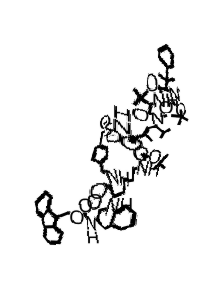 C/C(=C\C(C(C)C)N(C)C(=O)C(NC(=O)C(N(C)C(=O)OC(C)(C)C)C(C)(C)c1ccccc1)C(C)(C)C)C(=O)NS(=O)(=O)Cc1ccc(CNC(=O)C(CCCCNC(=O)OC(C)(C)C)NC(=O)C(Cc2ccccc2)NC(=O)OCC2c3ccccc3-c3ccccc32)cc1